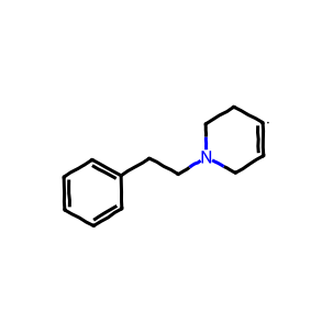 [C]1=CCN(CCc2ccccc2)CC1